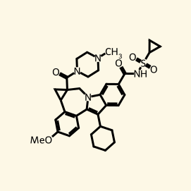 COc1ccc2c(c1)C1CC1(C(=O)N1CCN(C)CC1)Cn1c-2c(C2CCCCC2)c2ccc(C(=O)NS(=O)(=O)C3CC3)cc21